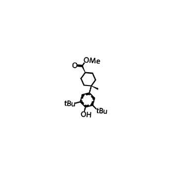 COC(=O)[C@H]1CC[C@](C)(c2cc(C(C)(C)C)c(O)c(C(C)(C)C)c2)CC1